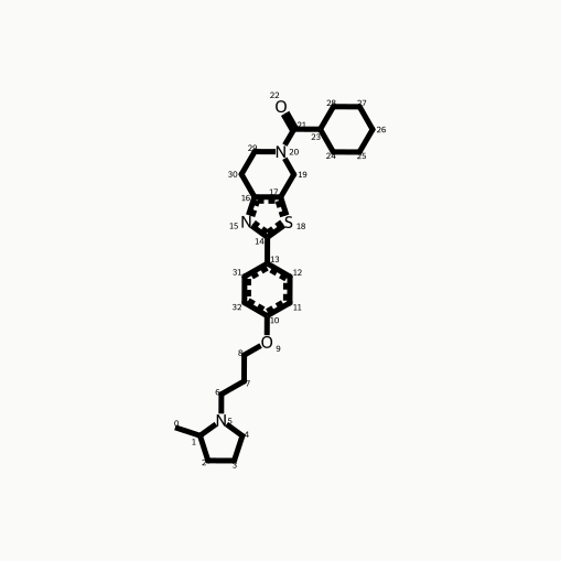 CC1CCCN1CCCOc1ccc(-c2nc3c(s2)CN(C(=O)C2CCCCC2)CC3)cc1